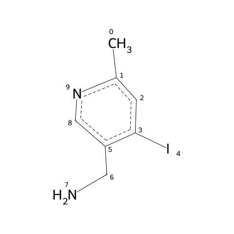 Cc1cc(I)c(CN)cn1